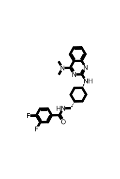 CN(C)c1nc(N[C@H]2CC[C@@H](CNC(=O)c3ccc(F)c(F)c3)CC2)nc2ccccc12